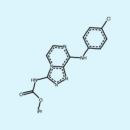 CC(C)OC(=O)Nc1nnc2c(Nc3ccc(Cl)cc3)nccn12